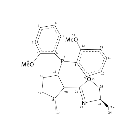 COc1ccccc1P(c1ccccc1OC)C1CC[C@@H](C)C1C1=N[C@H](C(C)C)CO1